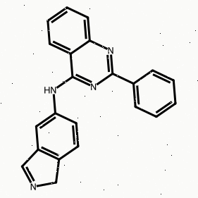 C1=NCc2ccc(Nc3nc(-c4ccccc4)nc4ccccc34)cc21